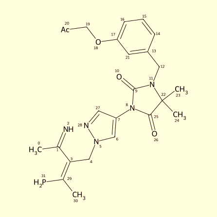 CC(=N)/C(Cn1cc(N2C(=O)N(Cc3cccc(OCC(C)=O)c3)C(C)(C)C2=O)cn1)=C(/C)P